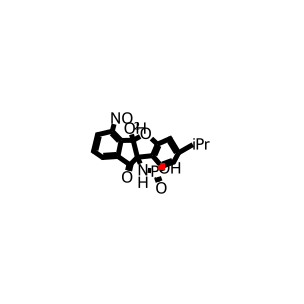 CC(C)c1ccc2c(c1)OC1(O)c3c(cccc3[N+](=O)[O-])C(=O)C21N[P](=O)O